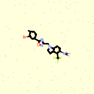 [C-]#[N+]c1ccc2c(ccn2Cc2noc(-c3ccc(C)c(Br)c3)n2)c1C(F)(F)F